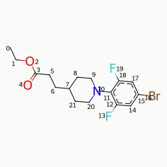 CCOC(=O)CCC1CCN(c2c(F)cc(Br)cc2F)CC1